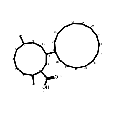 CC1CCCCC(C)C(C(=O)O)CC(C2CCCCCCCCCCCCCC2)CC1